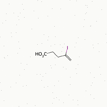 C=C(I)CCC(=O)O